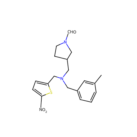 Cc1cccc(CN(Cc2ccc([N+](=O)[O-])s2)CC2CCN(C=O)C2)c1